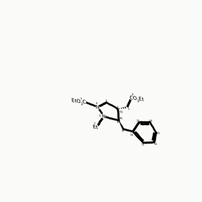 CCOC(=O)C[C@H]1CN(C(=O)OCC)N(CC)[C@@H]1Cc1ccccc1